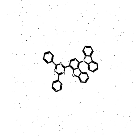 c1ccc(-c2nc(-c3ccccc3)nc(-c3ccc(-n4c5ccccc5c5ccccc54)c4c3oc3ccccc34)n2)cc1